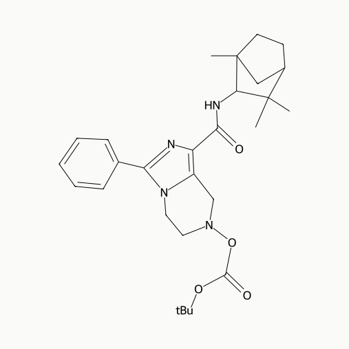 CC(C)(C)OC(=O)ON1CCn2c(-c3ccccc3)nc(C(=O)NC3C4(C)CCC(C4)C3(C)C)c2C1